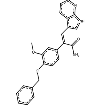 COc1cc(C(=Cc2c[nH]c3ncccc23)C(N)=O)ccc1OCc1ccccc1